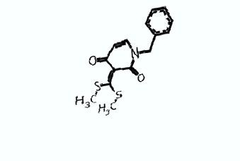 CSC(SC)=C1C(=O)C=CN(Cc2ccccc2)C1=O